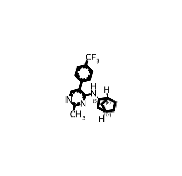 Cc1ncc(-c2ccc(C(F)(F)F)cc2)c(N[C@H]2C[C@@H]3CC[C@@H]2C3)n1